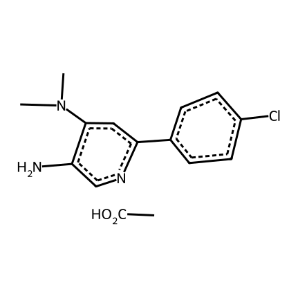 CC(=O)O.CN(C)c1cc(-c2ccc(Cl)cc2)ncc1N